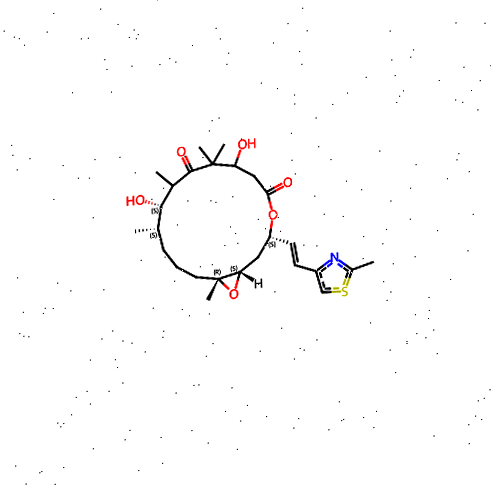 Cc1nc(C=C[C@@H]2C[C@@H]3O[C@]3(C)CCC[C@H](C)[C@H](O)C(C)C(=O)C(C)(C)C(O)CC(=O)O2)cs1